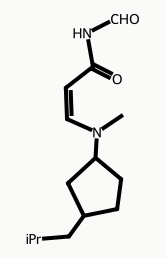 CC(C)CC1CCC(N(C)/C=C\C(=O)NC=O)C1